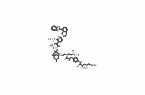 CNCCCC(NC)C(=O)Nc1ccc(CC(C)C(=O)N(CCOC23CC(C)CC(C)(CC(C)(CN/C(C)=C(\C=N)c4ccc(N5CCc6cccc(-c7nc8ccccc8s7)c6C5)nc4C(=O)O)C2)C3)CCS(=O)O)cc1